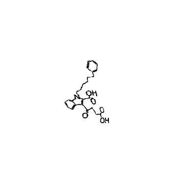 O=C(O)CCC(=O)c1c(C(=O)O)n(CCCCCCc2ccccc2)c2ccccc12